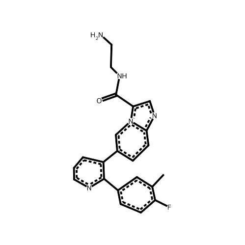 Cc1cc(-c2ncccc2-c2ccc3ncc(C(=O)NCCN)n3c2)ccc1F